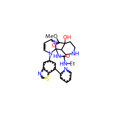 CCNC(=O)NC1(C2CNCCC2(O)C(=O)OC)N=CC=CN1c1cc(-c2ccccn2)c2scnc2c1